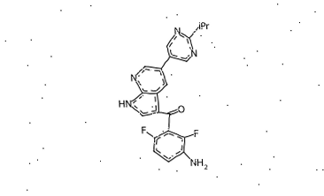 CC(C)c1ncc(-c2cnc3[nH]cc(C(=O)c4c(F)ccc(N)c4F)c3c2)cn1